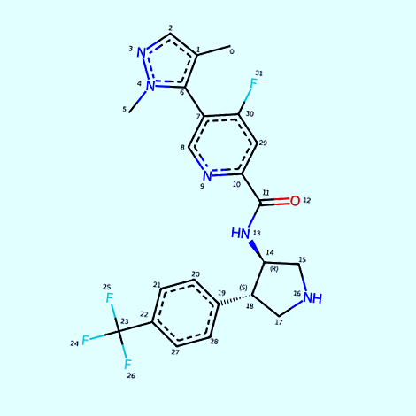 Cc1cnn(C)c1-c1cnc(C(=O)N[C@H]2CNC[C@@H]2c2ccc(C(F)(F)F)cc2)cc1F